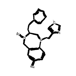 CC(=O)N1Cc2cc(Br)ccc2N(Cc2c[nH]cn2)CC1Cc1ccccc1